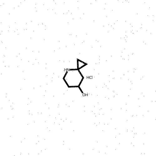 Cl.OC1CCNC2(CC2)C1